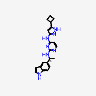 C[C@H](Nc1nccc(Nc2cc(C3CCC3)[nH]n2)n1)c1ccc2[nH]ccc2c1